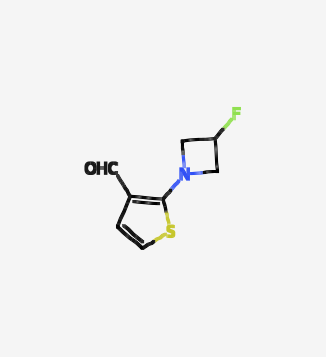 O=Cc1ccsc1N1CC(F)C1